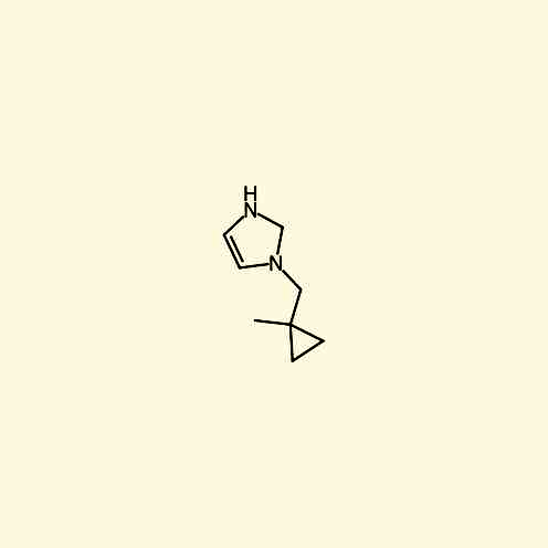 CC1(CN2C=CNC2)CC1